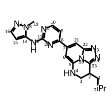 CC(C)CC1CNc2cc(-c3ccnc(Nc4ccnn4C)n3)cc3nnc1n23